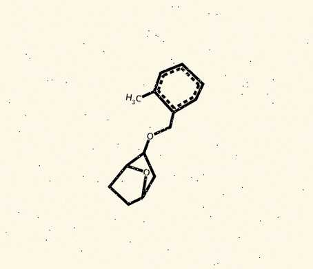 Cc1ccccc1COC1CC2CCC1O2